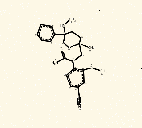 CN[C@]1(c2ccccc2)CC[C@@](C)(CN(C(N)=O)c2ccc(C#N)cc2OC)CC1